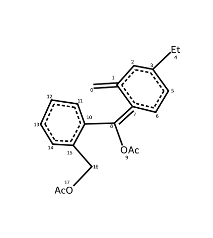 C=c1cc(CC)cc/c1=C(\OC(C)=O)c1ccccc1COC(C)=O